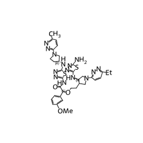 CCc1ccc(N2CC(CCO[C@H](C(=O)Nc3nnc(N[C@@H]4CCN(c5ccc(C)nn5)C4)s3)c3cccc(OC)c3)[C@@H](Nc3nnc(N)s3)C2)nn1